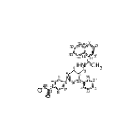 C[C@@H](NCC1CCN(c2ccc(C(=O)N=O)cc2)CC1c1ccccc1)c1cccc2ccccc12